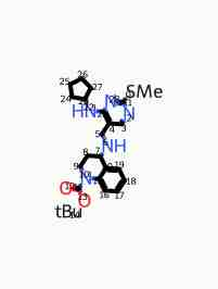 CSc1ncc(CNC2CCN(C(=O)OC(C)(C)C)c3ccccc32)c(NC2CCCC2)n1